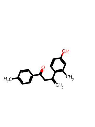 C=C(CC(=O)c1ccc(C)cc1)c1ccc(O)cc1C